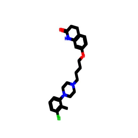 Cc1c(Cl)cccc1N1CCN(CCCCOc2ccc3c(c2)NC(=O)CC3)CC1